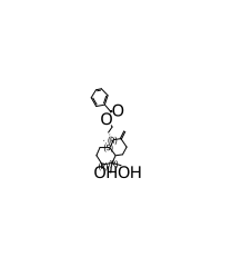 C=C1CCC2[C@](C)(CO)[C@H](O)CC[C@@]2(C)[C@@H]1CCOC(=O)c1ccccc1